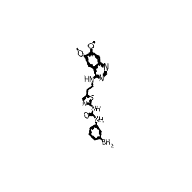 Bc1cccc(NC(=O)Nc2ncc(CCNc3ncnc4cc(OC)c(OC)cc34)s2)c1